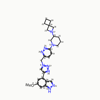 COc1cc(-c2cn(Cc3ccc(N4CCCC(N5CC6(CCC6)C5)C4)nn3)nn2)c2cn[nH]c2c1